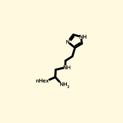 CCCCCCC(N)CNCCc1c[nH]cn1